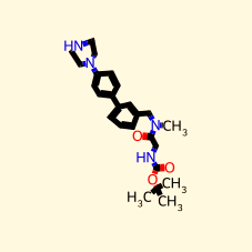 CN(Cc1cccc(-c2ccc(N3CCNCC3)cc2)c1)C(=O)CNC(=O)OC(C)(C)C